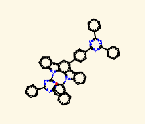 c1ccc(-c2nc(-c3ccccc3)nc(-c3ccc(-c4cc5c6ccccc6n(-c6nc(-c7ccccc7)nc(-c7ccccc7)n6)c5c5c4c4ccccc4n5-c4ccccc4)cc3)n2)cc1